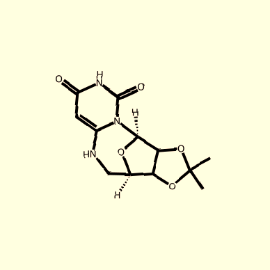 CC1(C)OC2C(O1)[C@H]1CNc3cc(=O)[nH]c(=O)n3[C@@H]2O1